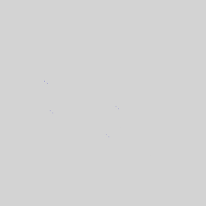 CCn1cnc(-c2cnc(-c3ccccc3)nc2)c1